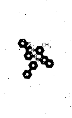 Cc1cc2c3c(c1)-n1c4sc5ccccc5c4c4cccc(c41)B3N(c1ccc(-c3ccccc3)cc1)c1cc3ccccc3cc1-2